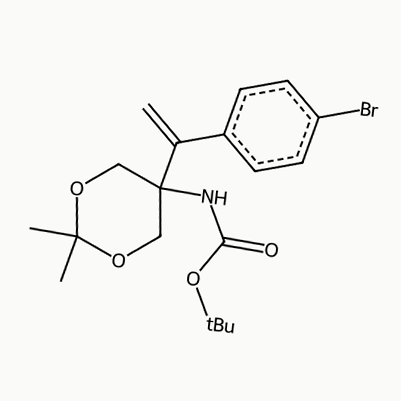 C=C(c1ccc(Br)cc1)C1(NC(=O)OC(C)(C)C)COC(C)(C)OC1